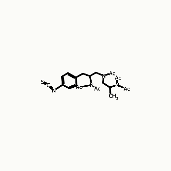 CC(=O)N(CC(C)N(C(C)=O)C(C)=O)CC(Cc1ccc(N=C=S)cc1)N(C(C)=O)C(C)=O